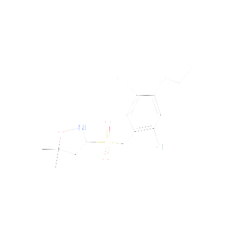 CCOc1cc(Cl)c(CS(=O)(=O)C2CC(C)(C)ON2)cc1Cl